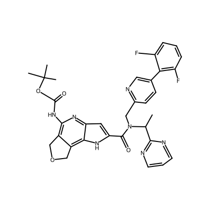 CC(c1ncccn1)N(Cc1ccc(-c2c(F)cccc2F)cn1)C(=O)c1cc2nc(NC(=O)OC(C)(C)C)c3c(c2[nH]1)COC3